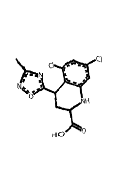 Cc1noc(C2CC(C(=O)O)Nc3cc(Cl)cc(Cl)c32)n1